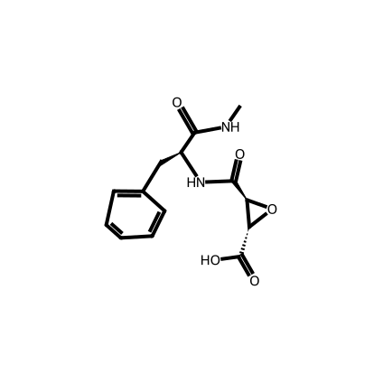 CNC(=O)[C@H](Cc1ccccc1)NC(=O)[C@H]1O[C@@H]1C(=O)O